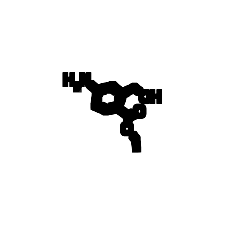 CCOC(=O)c1ccc(N)cc1CO